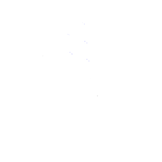 C=Cc1ccc(-c2ccc(C=Nc3nc(N=C)nc(-c4ccccc4)n3)cc2)cc1